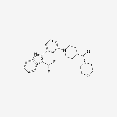 O=C(C1CCN(c2cccc(-c3nc4ccccc4n3C(F)F)c2)CC1)N1CCOCC1